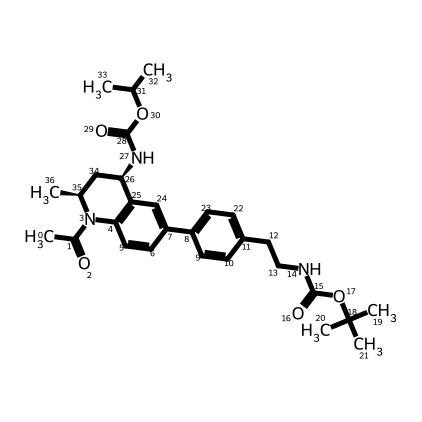 CC(=O)N1c2ccc(-c3ccc(CCNC(=O)OC(C)(C)C)cc3)cc2[C@H](NC(=O)OC(C)C)C[C@@H]1C